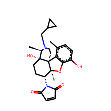 Cc1ccc(O)c2c1[C@]13CCN(CC4CC4)[C@H](C)[C@]1(O)CC[C@@H](N1C(=O)C=CC1=O)[C@@H]3O2